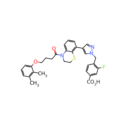 Cc1cccc(OCCCC(=O)N2CCSc3c(-c4cnn(Cc5ccc(C(=O)O)cc5F)c4)cccc32)c1C